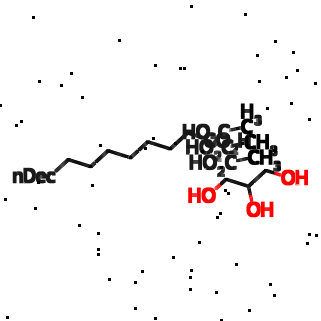 CC(=O)O.CC(=O)O.CC(=O)O.CCCCCCCCCCCCCCCCCC(=O)O.OCC(O)CO